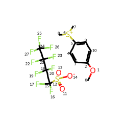 COc1ccc([S+](C)C)cc1.O=S(=O)([O-])C(F)(F)C(F)(F)C(F)(F)C(F)(F)F